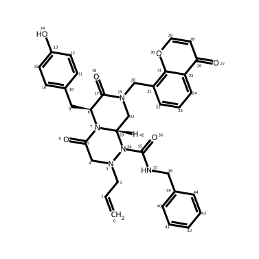 C=CCN1CC(=O)N2[C@@H](Cc3ccc(O)cc3)C(=O)N(Cc3cccc4c(=O)ccoc34)C[C@@H]2N1C(=O)NCc1ccccc1